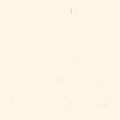 CCCCOC1COC(C)C(=O)C1OCCCC